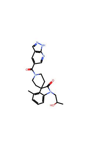 Cc1cccc2c1C1(CCN(C(=O)c3cnc4[nH]ncc4c3)CC1)C(=O)N2CC(C)O